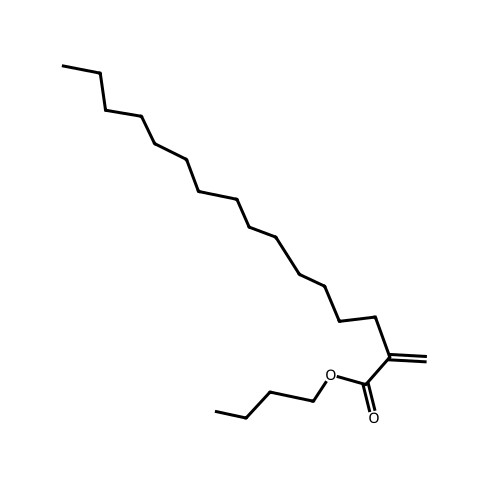 C=C(CCCCCCCCCCCCCC)C(=O)OCCCC